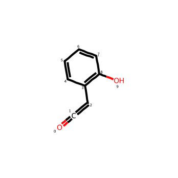 O=C=Cc1ccc[c]c1O